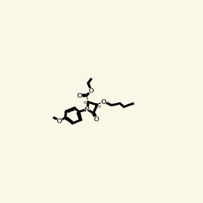 CCCCO[C@@H]1C(=O)N(c2ccc(OC)cc2)[C@@H]1C(=O)OCC